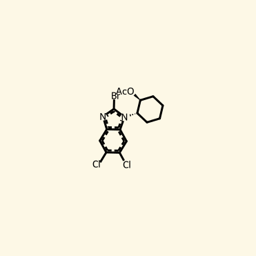 CC(=O)O[C@H]1CCCC[C@@H]1n1c(Br)nc2cc(Cl)c(Cl)cc21